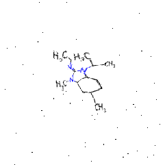 CC/N=C1/N(C)C2CC(C)CCC2N1C(C)C